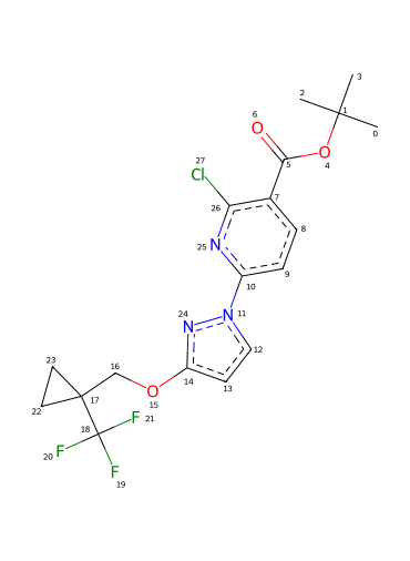 CC(C)(C)OC(=O)c1ccc(-n2ccc(OCC3(C(F)(F)F)CC3)n2)nc1Cl